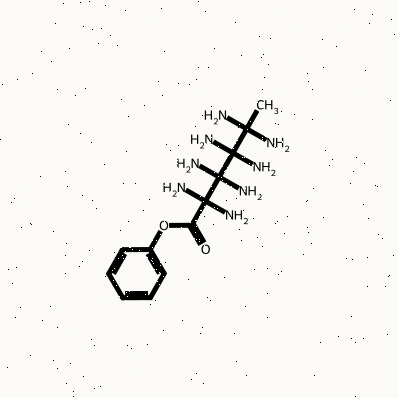 CC(N)(N)C(N)(N)C(N)(N)C(N)(N)C(=O)Oc1ccccc1